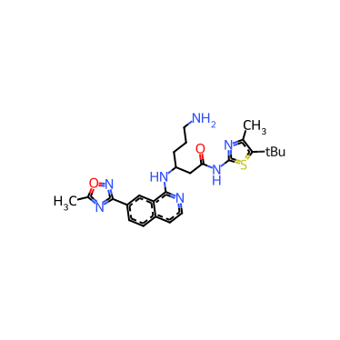 Cc1nc(-c2ccc3ccnc(NC(CCCN)CC(=O)Nc4nc(C)c(C(C)(C)C)s4)c3c2)no1